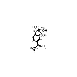 CC1(C)Oc2ccc(C(N)C3CC3)cc2S1(O)O